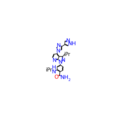 CC(C)Nc1cc(-n2nc(C(C)C)c3c(-n4cnc(-c5cn[nH]c5)c4)ccnc32)ccc1C(N)=O